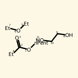 CCCCCOC(=O)CC.CCOCC.OCCO